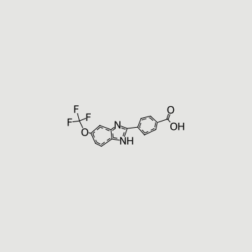 O=C(O)c1ccc(-c2nc3cc(OC(F)(F)F)ccc3[nH]2)cc1